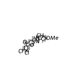 COc1ccc(-c2nc3sc(C=C4C(=O)c5cc(Cl)c(Cl)cc5C4=O)cc3n2C)cc1